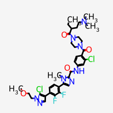 CCC(CCN(C)C)C(=O)N1CCN(C(=O)c2ccc(NC(=O)c3ncc(-c4ccc(-c5cnn(CCOC)c5Cl)c(F)c4F)n3C)cc2Cl)CC1